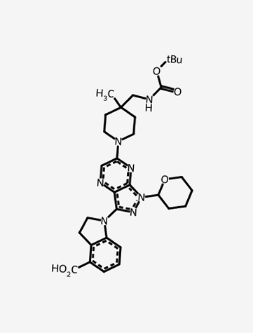 CC1(CNC(=O)OC(C)(C)C)CCN(c2cnc3c(N4CCc5c(C(=O)O)cccc54)nn(C4CCCCO4)c3n2)CC1